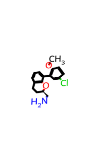 COc1ccc(Cl)cc1-c1cccc2c1O[C@@H](CN)CC2